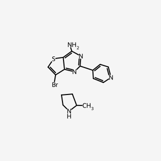 CC1CCCN1.Nc1nc(-c2ccncc2)nc2c(Br)csc12